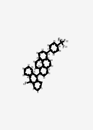 Fc1c2ccccc2c(-c2ccc3ccc4c(-c5ccc(C(F)(F)F)cc5)ccc5ccc2c3c54)c2ccccc12